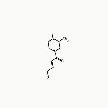 C[C@H]1CN(C(=O)/C=C/CF)CCN1I